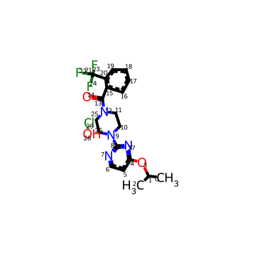 CC(C)Oc1ccnc(N2CCN(C(=O)c3ccccc3C(F)(F)F)CC2)n1.OCl